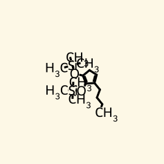 CCCCC1=CCC(O[Si](C)(C)C)=C1O[Si](C)(C)C